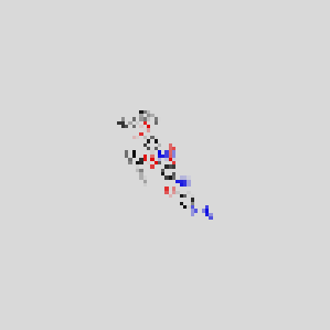 CC(C)OC(=O)c1ccc(NC(=O)c2ccc(NC(=O)c3ccc(N)cc3)cc2O)c(OC(C)C)c1